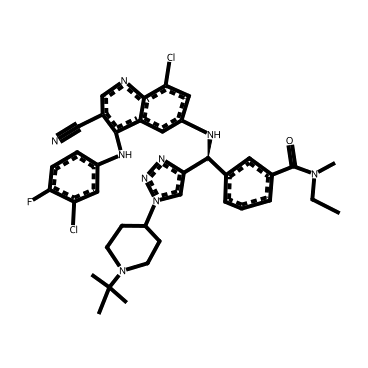 CCN(C)C(=O)c1cccc([C@H](Nc2cc(Cl)c3ncc(C#N)c(Nc4ccc(F)c(Cl)c4)c3c2)c2cn(C3CCN(C(C)(C)C)CC3)nn2)c1